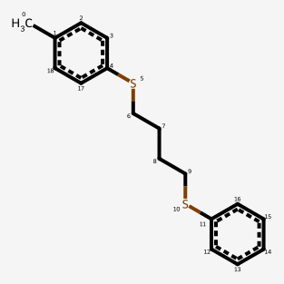 Cc1ccc(SCCCCSc2ccccc2)cc1